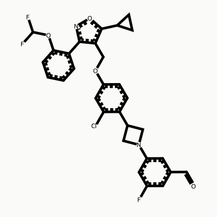 O=Cc1cc(F)cc(N2CC(c3ccc(OCc4c(-c5ccccc5OC(F)F)noc4C4CC4)cc3Cl)C2)c1